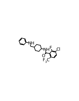 O=C(NC1CCC(CNc2ccccc2)CC1)c1c(C(F)(F)F)ccc(Cl)c1F